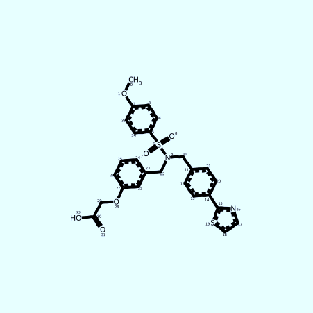 COc1ccc(S(=O)(=O)N(Cc2ccc(-c3nccs3)cc2)Cc2cccc(OCC(=O)O)c2)cc1